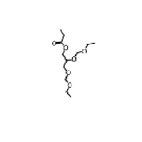 CCOCOCC(COC(=O)CC)OCOCC